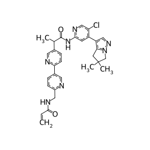 C=CC(=O)NCc1ccc(-c2ccc(C(C)C(=O)Nc3cc(-c4cnn5c4CC(C)(C)C5)c(Cl)cn3)cn2)cn1